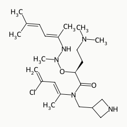 C=C(Cl)/C=C(\C)N(CC1CNC1)C(=O)[C@H](CCN(C)C)ON(C)N/C(C)=C/C=C(C)C